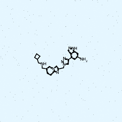 Nc1cc(-c2cn(Cc3cn4cc(CNCC5CCC5)ccc4n3)nn2)c2cn[nH]c2c1